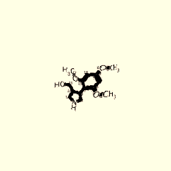 COc1cc(OC)c(C2CNCC2CO)c(OC)c1